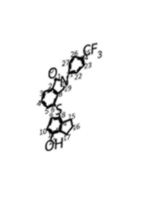 O=C1c2cccc(Sc3ccc(O)c4c3CCC4)c2CN1c1ccc(C(F)(F)F)cc1